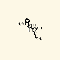 CCCCCC[C@@H](NC(=O)O)c1nc(-c2ccccc2OC)c[nH]1